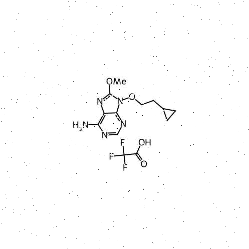 COc1nc2c(N)ncnc2n1OCCC1CC1.O=C(O)C(F)(F)F